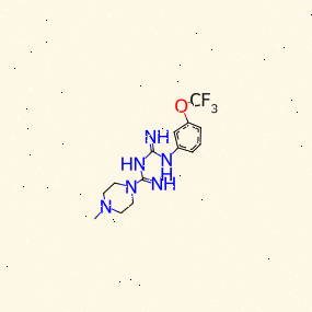 CN1CCN(C(=N)NC(=N)Nc2cccc(OC(F)(F)F)c2)CC1